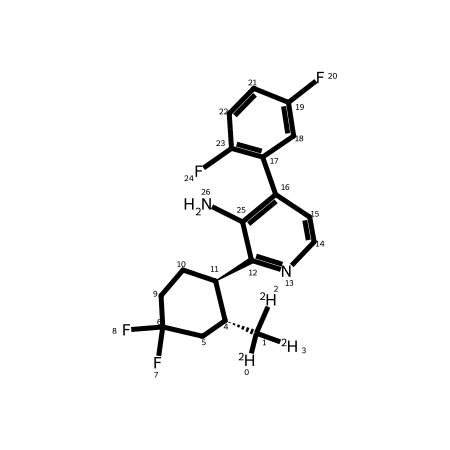 [2H]C([2H])([2H])[C@@H]1CC(F)(F)CC[C@H]1c1nccc(-c2cc(F)ccc2F)c1N